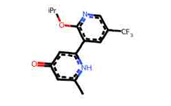 Cc1cc(=O)cc(-c2cc(C(F)(F)F)cnc2OC(C)C)[nH]1